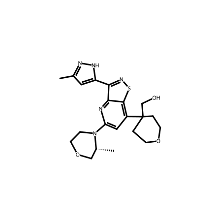 Cc1cc(-c2nsc3c(C4(CO)CCOCC4)cc(N4CCOC[C@H]4C)nc23)[nH]n1